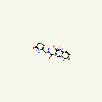 O=C(NCc1cccc(=O)[nH]1)c1cc2ccccc2[nH]c1=O